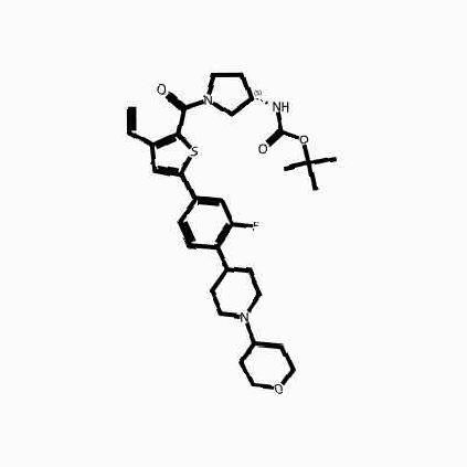 C=Cc1cc(-c2ccc(C3CCN(C4CCOCC4)CC3)c(F)c2)sc1C(=O)N1CC[C@H](NC(=O)OC(C)(C)C)C1